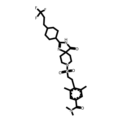 Cc1cc(C(=O)N(C)C)cc(C)c1CCS(=O)(=O)N1CCC2(CC1)N=C(C1CCC(CCC(F)(F)F)CC1)NC2=O